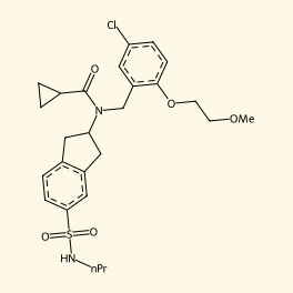 CCCNS(=O)(=O)c1ccc2c(c1)CC(N(Cc1cc(Cl)ccc1OCCOC)C(=O)C1CC1)C2